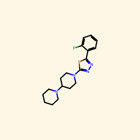 Fc1ccccc1-c1nnc(N2CCC(N3CCCCC3)CC2)s1